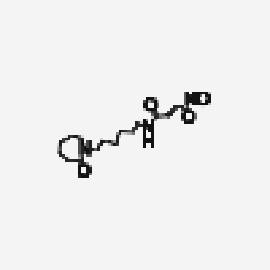 O=NC(=O)C=CC(=O)NCCCCCCN1CCCCCC1=O